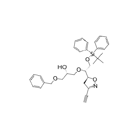 C#CC1=NO[C@H]([C@@H](CO[Si](c2ccccc2)(c2ccccc2)C(C)(C)C)OC[C@@H](O)COCc2ccccc2)C1